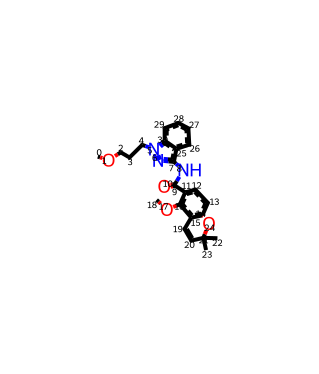 COCCCn1nc(NC(=O)c2ccc3c(c2OC)C=CC(C)(C)O3)c2ccccc21